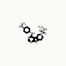 CNS(=O)(=O)N1CCc2sc3ncnc(N[C@H]4CC[C@H](NC)CC4)c3c2C1